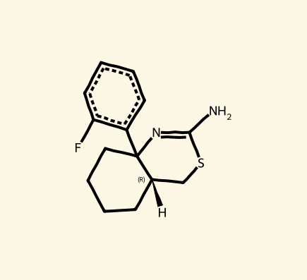 NC1=NC2(c3ccccc3F)CCCC[C@H]2CS1